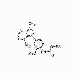 COc1cc(-c2cn(C)c3ncnc(N)c23)ccc1NC(=O)OC(C)(C)C